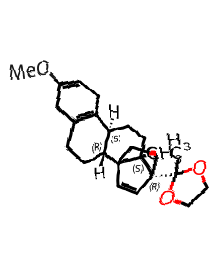 COC1=CCC2=C(CC[C@@H]3[C@@H]2CC[C@@]2(C)C34C=C[C@]2(C2(C)OCCO2)CC4)C1